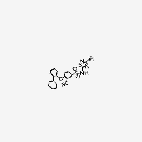 CC(C)c1nsc(NS(=O)(=O)c2ccc(Oc3ccccc3-c3ccccc3)c(C#N)c2)n1